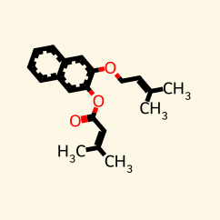 CC(C)=CCOc1cc2ccccc2cc1OC(=O)C=C(C)C